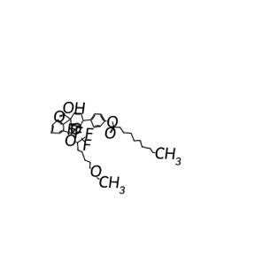 CCCCCCCCCC(=O)Oc1ccc(C2C=CC(C(=O)O)(c3ccccc3C(=O)OC(CCCCCOCC)C(F)(F)F)C(F)=C2)cc1